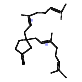 CC(C)=CCC/C(C)=C/CC1(C/C=C(\C)CCC=C(C)C)CCC(=O)C1